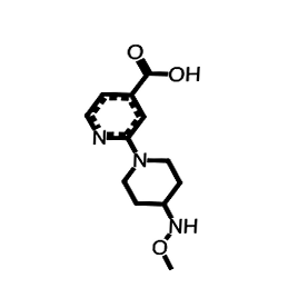 CONC1CCN(c2cc(C(=O)O)ccn2)CC1